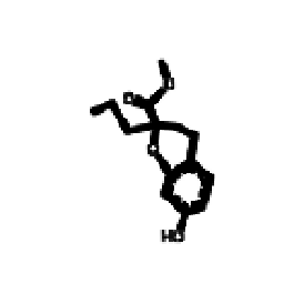 CCCC1(C(=O)OC)CCc2ccc(O)cc2O1